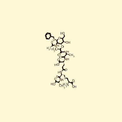 CC(=O)NC1[C@@H](OCc2ccccc2)OC(CO)[C@@H](O)[C@@H]1O[C@H](C)C(=O)N[C@@H](C)C(=O)N[C@H](CCC(=O)N[C@H](CSC[C@H](N)C(=O)O)C(=O)N[C@H](C)C(=O)O)C(=O)O